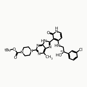 Cc1nc(N2CCN(C(=O)OC(C)(C)C)CC2)nc2[nH]c(-c3c(NC[C@H](O)c4cccc(Cl)c4)cc[nH]c3=O)nc12